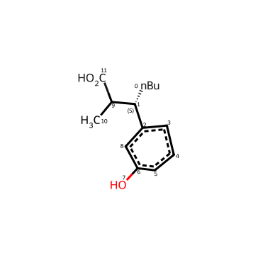 CCCC[C@H](c1cccc(O)c1)C(C)C(=O)O